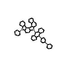 c1ccc(-c2ccc(-c3c4ccccc4c(-n4c5ccc6ccccc6c5c5c6c7ccccc7n(-c7ccccc7)c6ccc54)c4ccccc34)cc2)cc1